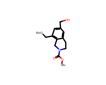 COCc1cc(CO)cc2c1CN(C(=O)OC(C)(C)C)CC2